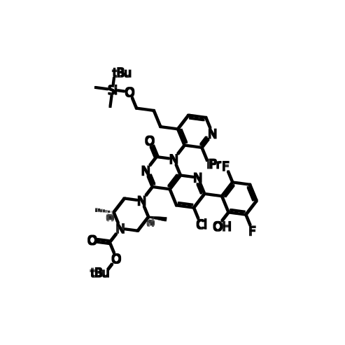 CC(C)c1nccc(CCCO[Si](C)(C)C(C)(C)C)c1-n1c(=O)nc(N2C[C@@H](C)N(C(=O)OC(C)(C)C)C[C@@H]2C)c2cc(Cl)c(-c3c(F)ccc(F)c3O)nc21